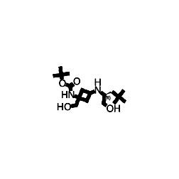 CC(C)(C)C[C@H](CO)NC1CC(CO)(NC(=O)OC(C)(C)C)C1